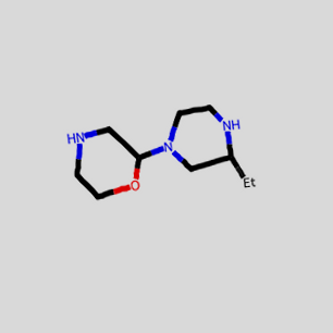 CCC1CN(C2CNCCO2)CCN1